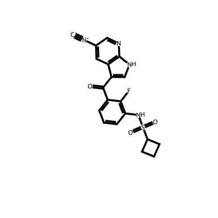 [C-]#[N+]c1cnc2[nH]cc(C(=O)c3cccc(NS(=O)(=O)C4CCC4)c3F)c2c1